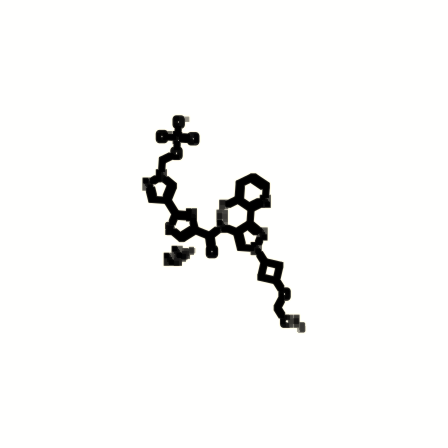 CCOC1CC(n2cc(NC(=O)c3csc(-c4cnn(COP(=O)([O-])[O-])c4)n3)c(-c3ncccc3F)n2)C1.[Na+].[Na+]